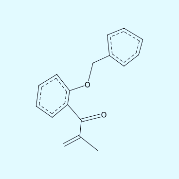 C=C(C)C(=O)c1ccccc1OCc1ccccc1